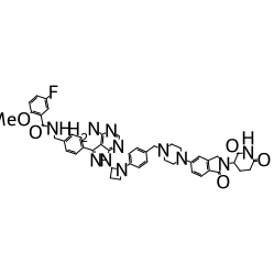 COc1ccc(F)cc1C(=O)NCc1ccc(-c2nn([C@H]3CCN3c3ccc(CN4CCN(c5ccc6c(c5)CN(C5CCC(=O)NC5=O)C6=O)CC4)cc3)c3ncnc(N)c23)cc1